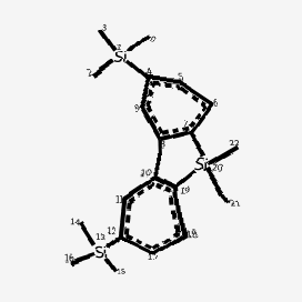 C[Si](C)(C)c1ccc2c(c1)-c1cc([Si](C)(C)C)ccc1[Si]2(C)C